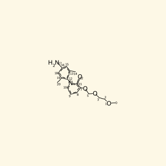 COCCOCOc1cccn(-c2c(C)cc(N)cc2C)c1=O